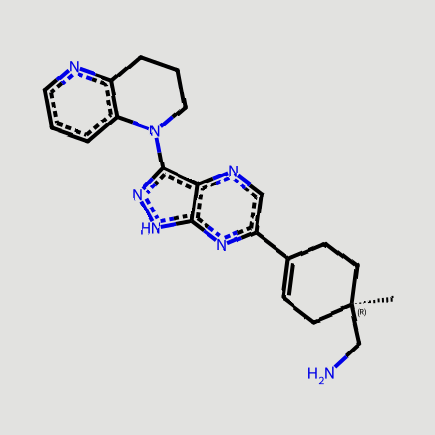 C[C@]1(CN)CC=C(c2cnc3c(N4CCCc5ncccc54)n[nH]c3n2)CC1